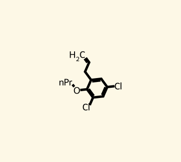 C=CCc1cc(Cl)cc(Cl)c1OCCC